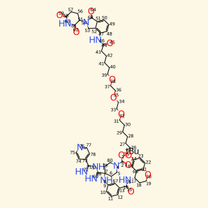 CC(C)(C)OC(=O)N1CCC(Nc2cccc(C(=O)N[C@H]3CCOc4ccc(OCCCCCCOCCOCCOCCCCCC(=O)Nc5cccc6c5CN(C5CCC(=O)NC5=O)C6=O)cc43)c2)(C(=N)NC(=N)c2ccncc2)CC1